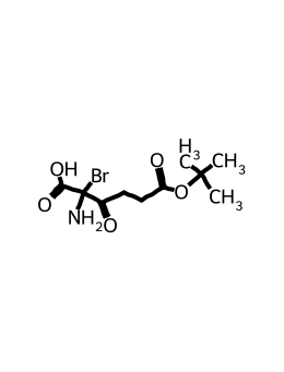 CC(C)(C)OC(=O)CCC(=O)C(N)(Br)C(=O)O